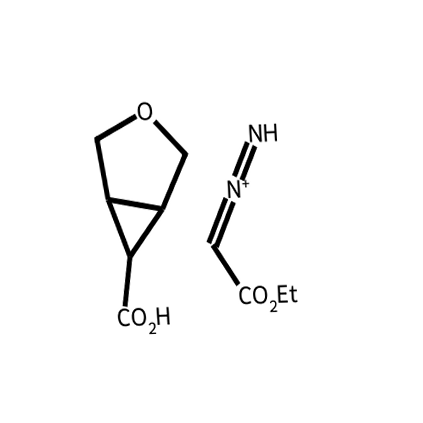 CCOC(=O)C=[N+]=N.O=C(O)C1C2COCC21